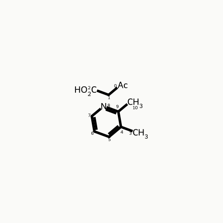 CC(=O)CC(=O)O.Cc1cccnc1C